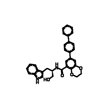 O=C(N[C@@H](CO)Cc1c[nH]c2ccccc12)c1cc(-c2ccc(-c3ccccc3)cc2)cc2c1OCCO2